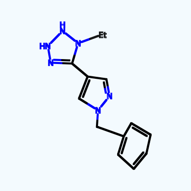 CCN1NNN=C1c1cnn(Cc2ccccc2)c1